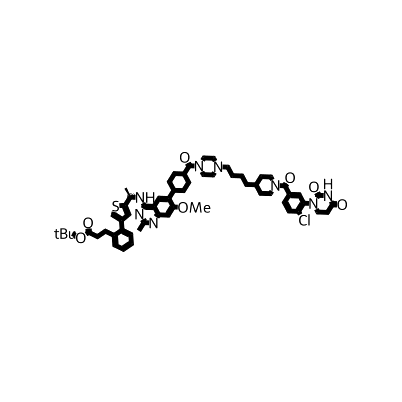 COc1cc2nc(C)nc(N[C@H](C)c3cc(-c4ccccc4CCC(=O)OC(C)(C)C)cs3)c2cc1C1CCC(C(=O)N2CCN(CCCCC3CCN(C(=O)c4ccc(Cl)c(N5CCC(=O)NC5=O)c4)CC3)CC2)CC1